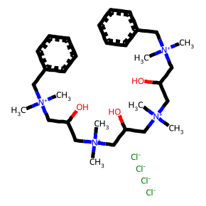 C[N+](C)(Cc1ccccc1)CC(O)C[N+](C)(C)CC(O)C[N+](C)(C)CC(O)C[N+](C)(C)Cc1ccccc1.[Cl-].[Cl-].[Cl-].[Cl-]